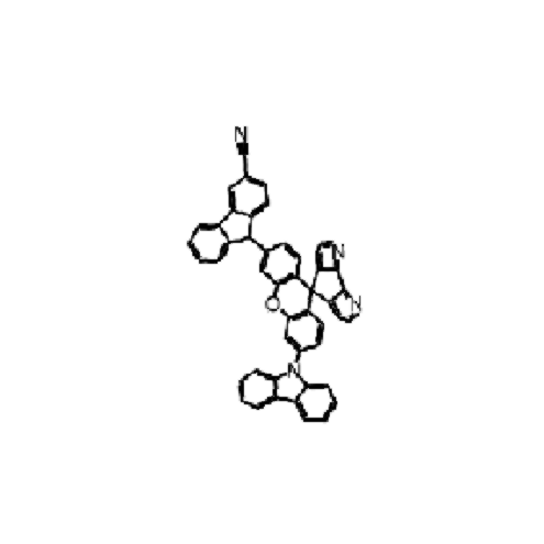 N#Cc1ccc2c(c1)-c1ccccc1C2c1ccc2c(c1)Oc1cc(-n3c4ccccc4c4ccccc43)ccc1C21c2cccnc2-c2ncccc21